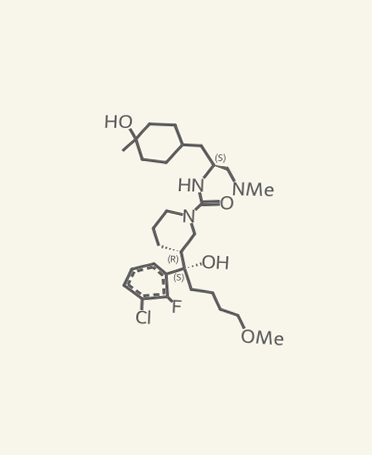 CNC[C@H](CC1CCC(C)(O)CC1)NC(=O)N1CCC[C@@H]([C@@](O)(CCCCOC)c2cccc(Cl)c2F)C1